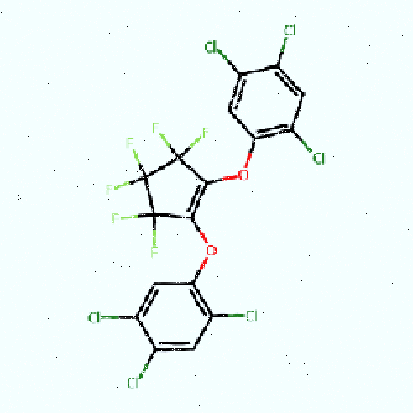 FC1(F)C(Oc2cc(Cl)c(Cl)cc2Cl)=C(Oc2cc(Cl)c(Cl)cc2Cl)C(F)(F)C1(F)F